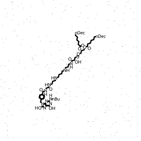 CCCCCCCCCCCCCCCC(=O)OCC(COOCC(O)C(=O)NCCCNCCCCNCCCNC(=O)CNC(=O)c1ccc(Cn2c(O)nc3c(O)nc(NCCCC)nc32)cc1)OC(=O)CCCCCCCCCCCCCCC